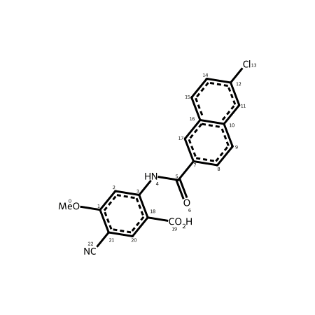 COc1cc(NC(=O)c2ccc3cc(Cl)ccc3c2)c(C(=O)O)cc1C#N